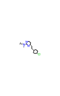 CC(=O)N(C)c1nccc(C=Cc2ccc(Cl)cc2)n1